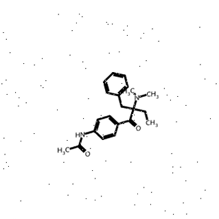 CCC(Cc1ccccc1)(C(=O)c1ccc(NC(C)=O)cc1)N(C)C